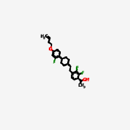 C=CCCOc1ccc(C2CCC(CCc3ccc(C(C)O)c(F)c3F)CC2)c(F)c1